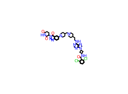 O=C1CC[C@H](n2nnc3ccc(N4CCC(CN5CCC(CCNc6ncnc7c6ncn7C6CC(NC(=O)c7c(Cl)cccc7Cl)C6)CC5)CC4)cc3c2=O)C(=O)N1